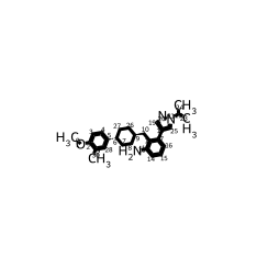 COc1ccc([C@H]2CC[C@H](Cc3c(N)cccc3-c3cnn(C(C)C)c3)CC2)cc1C